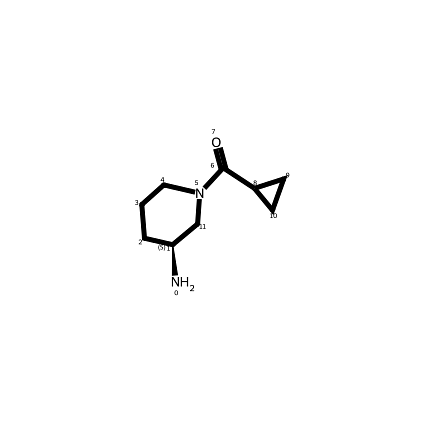 N[C@H]1CCCN(C(=O)C2CC2)C1